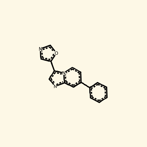 c1ccc(-c2ccn3c(-c4cnco4)cnc3c2)cc1